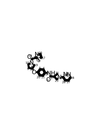 O=C(Nc1ccc(O[C@@H]2CCN(C(=O)c3nccs3)C2)cc1)C1CN(c2cccnn2)C1